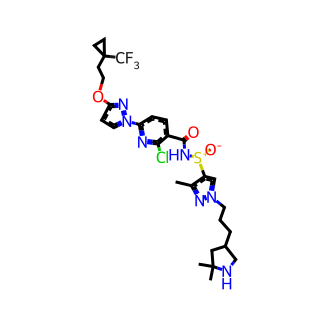 Cc1nn(CCCC2CNC(C)(C)C2)cc1[S+]([O-])NC(=O)c1ccc(-n2ccc(OCCC3(C(F)(F)F)CC3)n2)nc1Cl